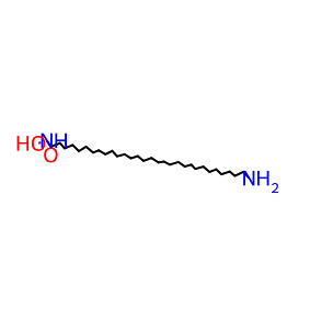 NCCCCCCCCCCCCCCCCCCCCCCCCCCCCCC(=O)NO